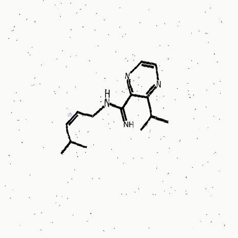 CC(C)/C=C\CNC(=N)c1nccnc1C(C)C